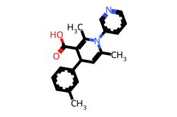 CC1=CC(c2cccc(C)c2)C(C(=O)O)=C(C)N1c1cccnc1